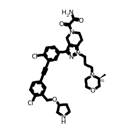 C[C@H]1COCCN1CCCn1nc(-c2ccc(Cl)c(C#Cc3ccc(Cl)c(COC4CCNC4)c3)c2)c2c1CCN(C(=O)C(N)=O)C2